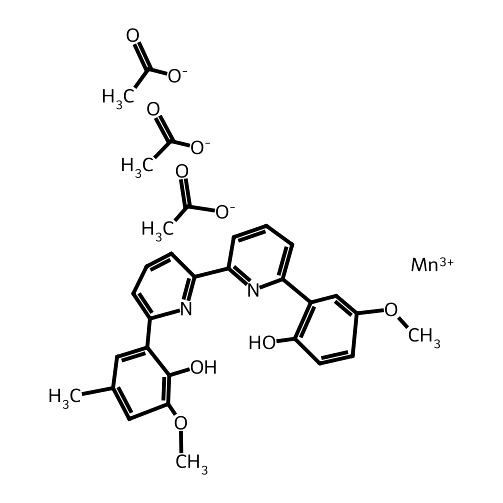 CC(=O)[O-].CC(=O)[O-].CC(=O)[O-].COc1ccc(O)c(-c2cccc(-c3cccc(-c4cc(C)cc(OC)c4O)n3)n2)c1.[Mn+3]